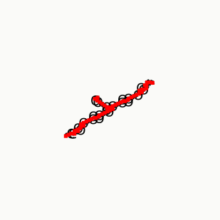 CCCC=C=C=Cc1ccc(OC(=O)c2ccc(OCCCCCCOC(=O)CCC(=O)OCCCCCCOc3ccc(OCCCCCCOC(=O)CCC(=O)OCCCCCCOc4ccc(C(=O)Oc5ccc(C6CCC(CCC)C6)cc5)cc4)cc3C(=O)OCCCCCCOC3CCCCO3)cc2)cc1